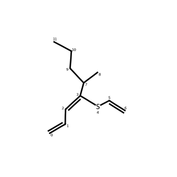 C=C/C=C(\SC=C)C(C)CCC